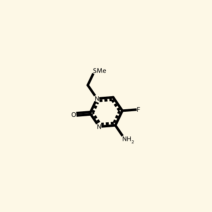 CSCn1cc(F)c(N)nc1=O